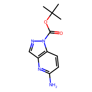 CC(C)(C)OC(=O)n1ncc2nc(N)ccc21